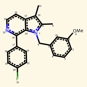 COc1cccc(Cn2c(C)c(C)c3ccnc(-c4ccc(F)cc4)c32)c1